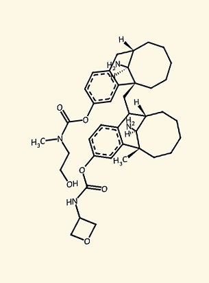 CN(CCO)C(=O)Oc1ccc2c(c1)[C@@]1(CC3c4ccc(OC(=O)NC5COC5)cc4[C@@]4(C)CCCCC[C@@H]3[C@@H]4N)CCCCC[C@@H](C2)[C@@H]1N